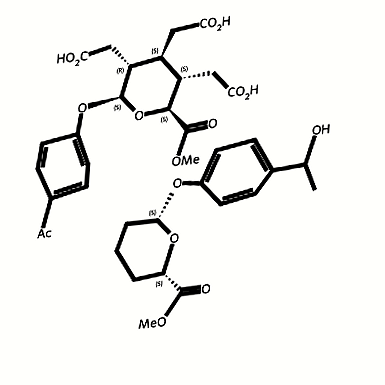 COC(=O)[C@@H]1CCC[C@H](Oc2ccc(C(C)O)cc2)O1.COC(=O)[C@H]1O[C@@H](Oc2ccc(C(C)=O)cc2)[C@H](CC(=O)O)[C@@H](CC(=O)O)[C@@H]1CC(=O)O